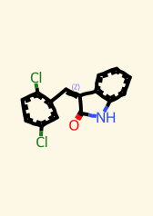 O=C1Nc2ccccc2/C1=C/c1cc(Cl)ccc1Cl